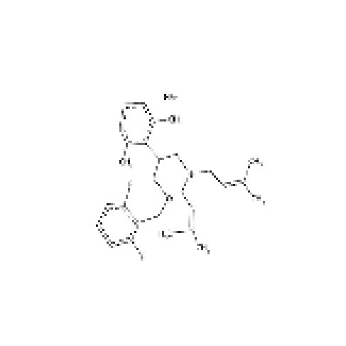 Br.CC(C)=CCN(CC=C(C)C)CC(COCc1c(F)cccc1F)c1c(C)cccc1C